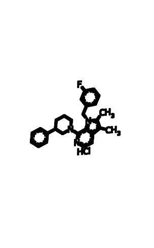 Cc1c(C)n(Cc2cccc(F)c2)c2c(N3CCCC(c4ccccc4)C3)nccc12.Cl